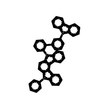 c1ccc(-n2c3ccccc3c3c4c5ccccc5n(-c5ccccc5-c5cccc(-n6c7ccccc7c7ccccc76)c5)c4ccc32)cc1